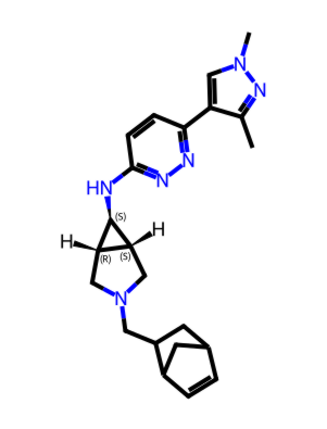 Cc1nn(C)cc1-c1ccc(N[C@H]2[C@@H]3CN(CC4CC5C=CC4C5)C[C@@H]32)nn1